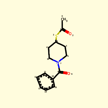 CC(=O)SC1CCN(C(=O)c2ccccc2)CC1